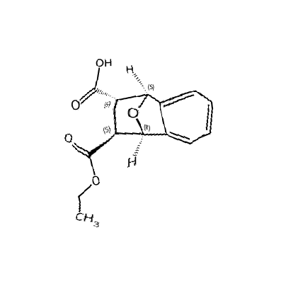 CCOC(=O)[C@H]1[C@H](C(=O)O)[C@@H]2O[C@H]1c1ccccc12